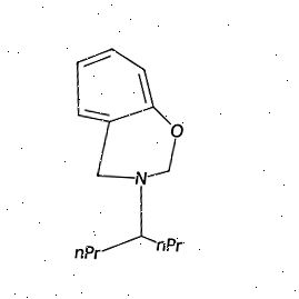 CCCC(CCC)N1COc2ccccc2C1